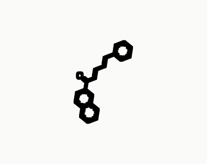 O=C(/C=C/C=C/c1ccccc1)c1ccc2ccccc2c1